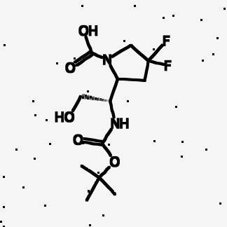 CC(C)(C)OC(=O)N[C@H](CO)C1CC(F)(F)CN1C(=O)O